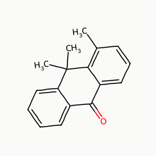 Cc1cccc2c1C(C)(C)c1ccccc1C2=O